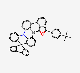 CC(C)(C)c1ccc(-c2oc3c4c(cccc24)-c2cccc4c2B3c2cccc3c2N4c2ccccc2C32c3ccccc3-c3ccccc32)cc1